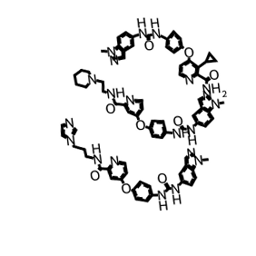 Cn1ncc2cc(NC(=O)Nc3ccc(Oc4ccnc(C(=O)NCCCn5ccnc5)c4)cc3)ccc21.Cn1ncc2cc(NC(=O)Nc3ccc(Oc4ccnc(C(=O)NCCN5CCCCC5)c4)cc3)ccc21.Cn1ncc2cc(NC(=O)Nc3ccc(Oc4ccnc(C(N)=O)c4C4CC4)cc3)ccc21